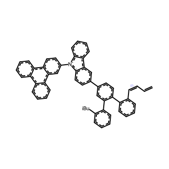 C=C/C=C\c1ccccc1-c1ccc(-c2ccc3c(c2)c2ccccc2n3-c2ccc3c4ccccc4c4ccccc4c3c2)cc1-c1ccccc1C(C)CC